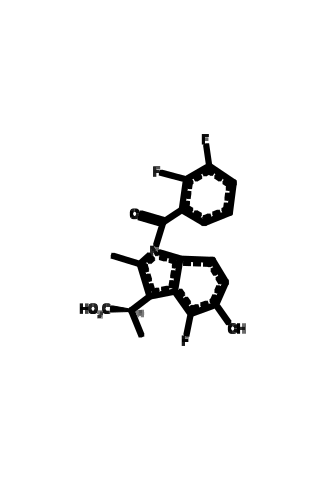 Cc1c([C@@H](C)C(=O)O)c2c(F)c(O)ccc2n1C(=O)c1cccc(F)c1F